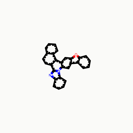 c1ccc2c(c1)ccc1c2c2cc3oc4ccccc4c3cc2n2c3ccccc3nc12